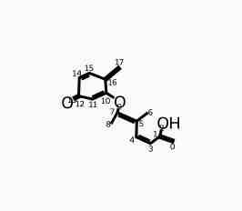 C=C(O)/C=C\C(C)=C(/C)OC1=CC(=O)C=CC1=C